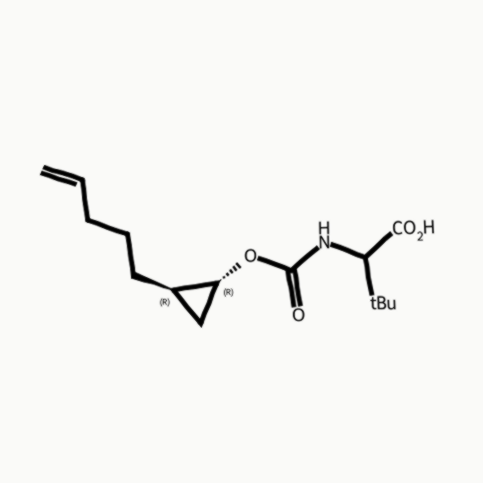 C=CCCC[C@@H]1C[C@H]1OC(=O)NC(C(=O)O)C(C)(C)C